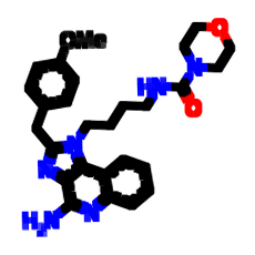 COc1ccc(Cc2nc3c(N)nc4ccccc4c3n2CCCCNC(=O)N2CCOCC2)cc1